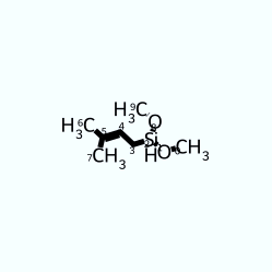 CO[SiH](CC=C(C)C)OC